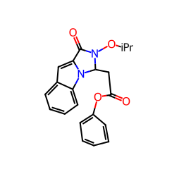 CC(C)ON1C(=O)c2cc3ccccc3n2C1CC(=O)Oc1ccccc1